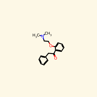 CN(C)CCOc1ccccc1C(=O)Cc1ccccc1